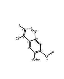 CC(=O)Oc1cc2c(Cl)c(C)cnc2cc1OI